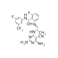 CC(/C=N/c1cccc(F)c1C(O)Nc1cc(F)cc(C(F)(F)F)c1)Nc1nc(N)nc(N)c1C#N